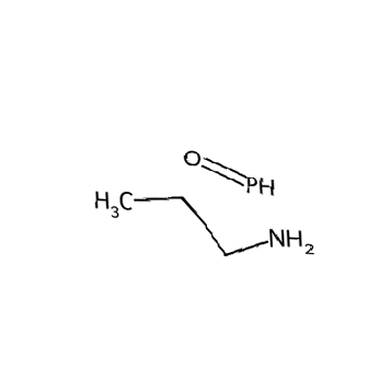 CCCN.O=P